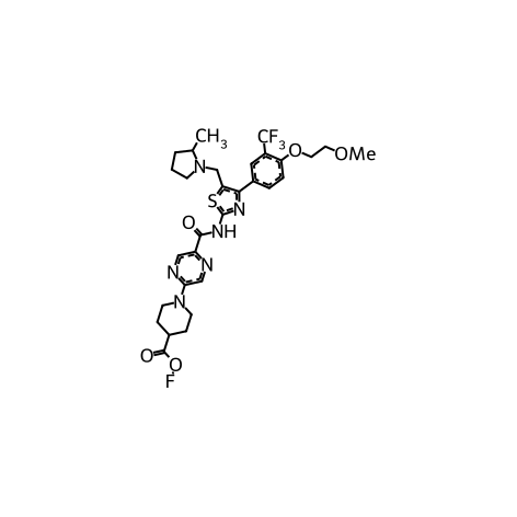 COCCOc1ccc(-c2nc(NC(=O)c3cnc(N4CCC(C(=O)OF)CC4)cn3)sc2CN2CCCC2C)cc1C(F)(F)F